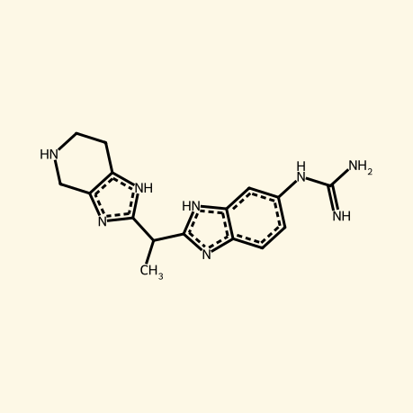 CC(c1nc2c([nH]1)CCNC2)c1nc2ccc(NC(=N)N)cc2[nH]1